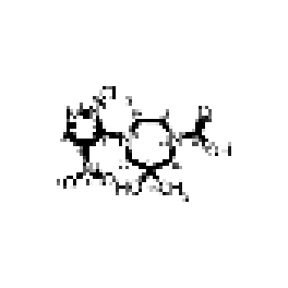 Cn1ncc([N+](=O)[O-])c1N1CCN(C(=O)O)CC(C)(O)C1